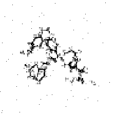 CN(C)C(=O)c1cc2n(n1)CCCN(c1nc(OC[C@@]34CCCN3C[C@H](F)C4)nc3c1COC1(CCCc4ccc(N)cc41)C3)C2